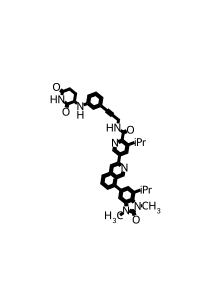 CC(C)c1cc(-c2cc3cccc(-c4cc(C(C)C)c5c(c4)n(C)c(=O)n5C)c3cn2)cnc1C(=O)NCC#Cc1cccc(NC2CCC(=O)NC2=O)c1